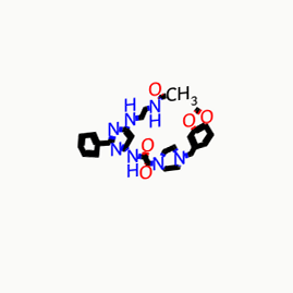 CC(=O)NCCNc1cc(NC(=O)C(=O)N2CCN(Cc3ccc4c(c3)OCO4)CC2)nc(-c2ccccc2)n1